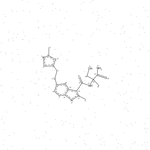 Cc1ncc(COc2ccc3nn(C)c(C(=O)NC(C)(CO)C(N)=O)c3c2)s1